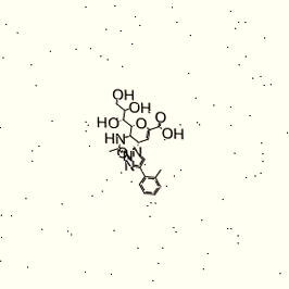 CC(=O)N[C@H]1[C@H]([C@H](O)C(O)CO)OC(C(=O)O)=C[C@@H]1n1cc(-c2ccccc2C)nn1